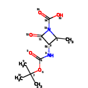 CC1[C@H](NC(=O)OC(C)(C)C)C(=O)N1C(=O)O